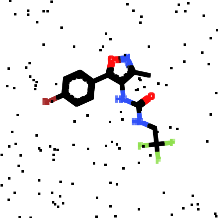 Cc1noc(-c2ccc(Br)cc2)c1NC(=O)NCC(F)(F)F